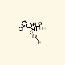 Cc1nc(C(=O)O)nc(OC2CC(C#N)C2)c1Cc1ccccc1Cl